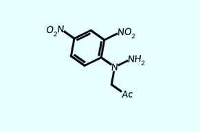 CC(=O)CN(N)c1ccc([N+](=O)[O-])cc1[N+](=O)[O-]